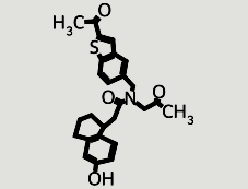 CC(=O)CN(Cc1ccc2sc(C(C)=O)cc2c1)C(=O)CC1CCCc2cc(O)ccc21